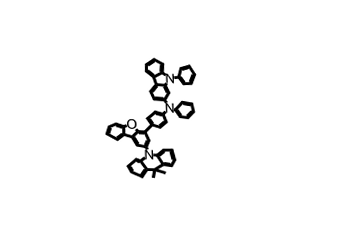 CC1(C)c2ccccc2N(c2cc(-c3ccc(N(c4ccccc4)c4ccc5c6ccccc6n(-c6ccccc6)c5c4)cc3)c3oc4ccccc4c3c2)c2ccccc21